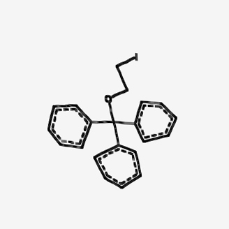 ICCOC(c1ccccc1)(c1ccccc1)c1ccccc1